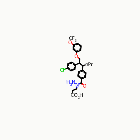 CCCC(c1ccc(C(=O)N(N)CCC(=O)O)cc1)C(COc1cccc(OC(F)(F)F)c1)c1ccc(Cl)cc1